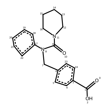 O=C(O)c1ccc(CN(C(=O)N2CCCCC2)c2ccccc2)cc1